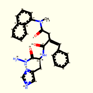 CN(C(=O)CC(=Cc1ccccc1)C(=O)N[C@@H](Cc1c[nH]cn1)C(=O)NN)c1cccc2ccccc12